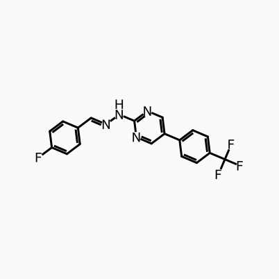 Fc1ccc(/C=N/Nc2ncc(-c3ccc(C(F)(F)F)cc3)cn2)cc1